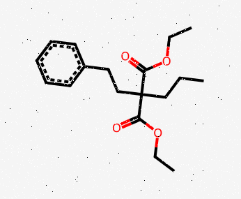 CCCC(CCc1ccccc1)(C(=O)OCC)C(=O)OCC